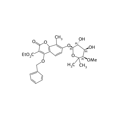 CCOC(=O)c1c(OCc2ccccc2)c2ccc(O[C@@H]3OC(C)(C)[C@H](OC)[C@H](O)[C@H]3O)c(C)c2oc1=O